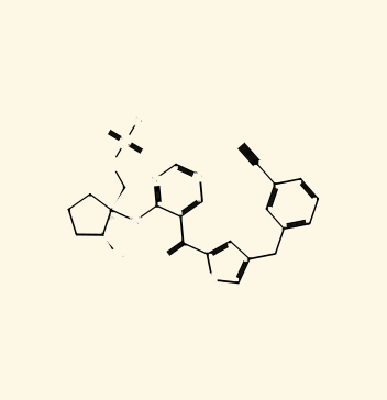 C#Cc1cccc(Cc2csc(C(=O)c3cncnc3N[C@@]3(COS(N)(=O)=O)CCC[C@@H]3O)c2)c1